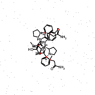 CO[C@H]1[C@H](OC)[C@H](C2CCCN2[C@@]2(C(=O)NC(=O)O)c3ccc(cc3)C2(C)CC(N)=O)N(c2ccc(F)cc2)[C@H]1C1CCCN1[C@@]1(C(=O)NC(=O)O)c2ccc(cc2)C1(C)CC(N)=O